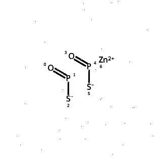 O=P[S-].O=P[S-].[Zn+2]